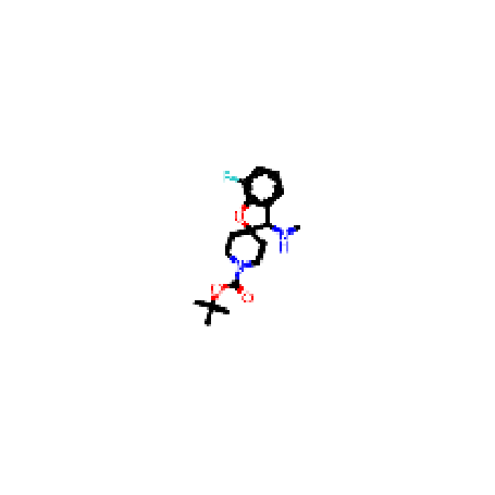 CNC1c2cccc(F)c2OC12CCN(C(=O)OC(C)(C)C)CC2